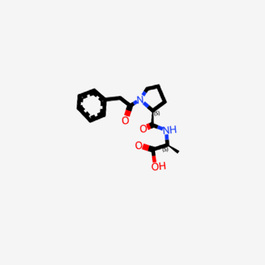 C[C@H](NC(=O)[C@@H]1CCCN1C(=O)Cc1ccccc1)C(=O)O